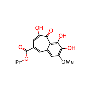 COc1cc2cc(C(=O)OC(C)C)cc(O)c(=O)c2c(O)c1O